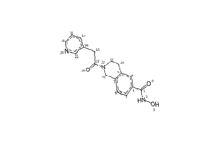 O=C(NO)c1ccc2c(c1)CCN(C(=O)Cc1cccnc1)C2